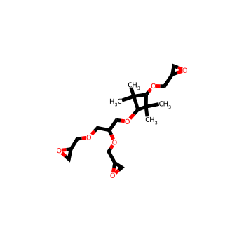 CC1(C)C(OCC(COCC2CO2)OCC2CO2)C(C)(C)C1OCC1CO1